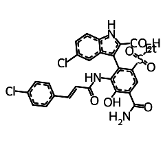 CCS(=O)(=O)c1cc(C(N)=O)c(O)c(NC(=O)C=Cc2ccc(Cl)cc2)c1-c1c(C(=O)O)[nH]c2ccc(Cl)cc12